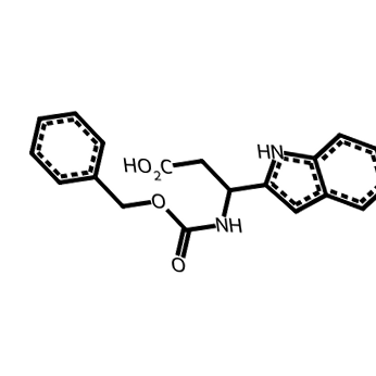 O=C(O)CC(NC(=O)OCc1ccccc1)c1cc2ccccc2[nH]1